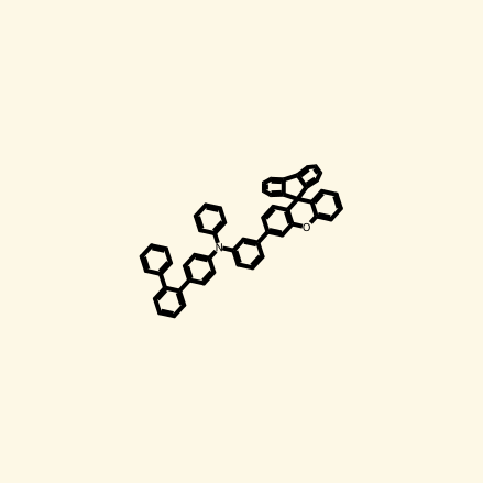 c1ccc(-c2ccccc2-c2ccc(N(c3ccccc3)c3cccc(-c4ccc5c(c4)Oc4ccccc4C54c5ccccc5-c5ccccc54)c3)cc2)cc1